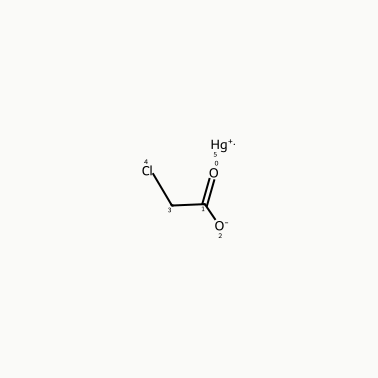 O=C([O-])CCl.[Hg+]